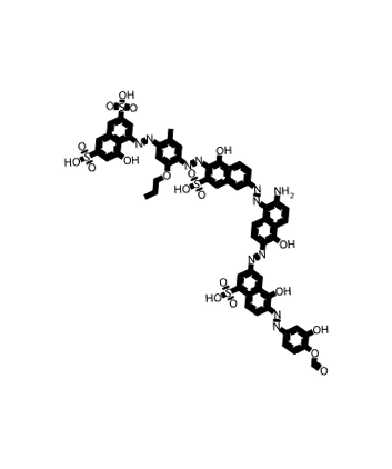 CCCOc1cc(N=Nc2cc(S(=O)(=O)O)cc3cc(S(=O)(=O)O)cc(O)c23)c(C)cc1N=Nc1c(S(=O)(=O)O)cc2cc(N=Nc3c(N)ccc4c(O)c(N=Nc5cc(S(=O)(=O)O)c6ccc(N=Nc7ccc(OC=O)c(O)c7)c(O)c6c5)ccc34)ccc2c1O